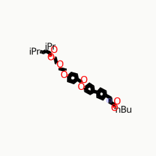 CCCCOC(=O)/C=C/c1ccc(-c2ccc(OC(=O)c3ccc(OCCOCCOC(=O)C(CC(C)C)C(C)C)cc3)cc2)cc1